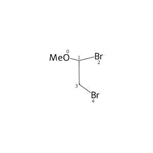 COC(Br)CBr